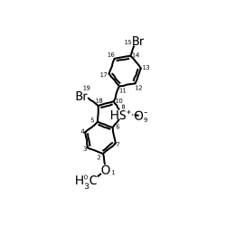 COc1ccc2c(c1)[SH+]([O-])C(c1ccc(Br)cc1)=C2Br